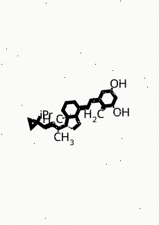 C=C1/C(=C\C=C2/CCC[C@@]3(C)C2CC[C@@H]3[C@H](C)/C=C/C2(C(C)C)CC2)C[C@@H](O)C[C@@H]1O